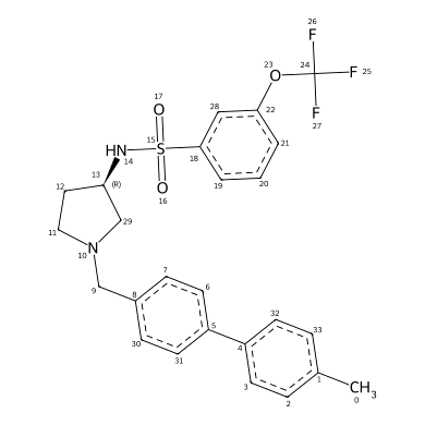 Cc1ccc(-c2ccc(CN3CC[C@@H](NS(=O)(=O)c4cccc(OC(F)(F)F)c4)C3)cc2)cc1